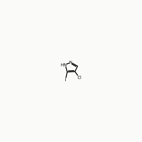 Clc1cn[nH]c1I